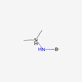 [B]N[SiH](C)C